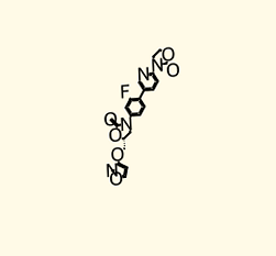 O=C1O[C@@H](COc2ccon2)CN1c1ccc(-c2ccc(N3CCOC3=O)nc2)c(F)c1